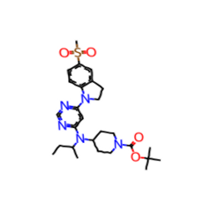 CCC(C)N(c1cc(N2CCc3cc(S(C)(=O)=O)ccc32)ncn1)C1CCN(C(=O)OC(C)(C)C)CC1